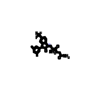 Cc1cc(C)cc(N2C(=O)/C(=C\N(N)C(=O)CCC(N)=O)c3ccc(C(F)(F)F)cc32)c1